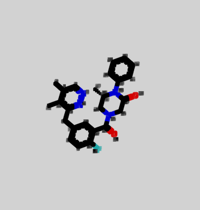 Cc1[c]nnc(Cc2ccc(F)c(C(=O)N3CC(=O)N(c4ccccc4)[C@@H](C)C3)c2)c1C